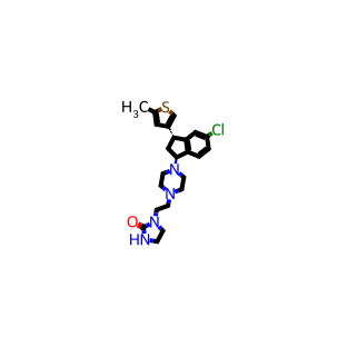 Cc1cc([C@H]2C[C@H](N3CCN(CCN4CCNC4=O)CC3)c3ccc(Cl)cc32)cs1